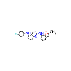 Cc1cc2cccc(Nc3ccc4c(Nc5ccc(F)cc5)cccc4n3)c2o1